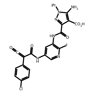 CC(C)n1nc(C(=O)Nc2cc(NC(=O)C(=C=O)c3ccc(Cl)cc3)cnc2F)c(C(=O)O)c1N